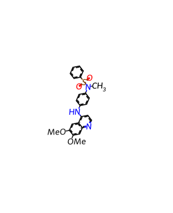 COc1cc2nccc(Nc3ccc(N(C)S(=O)(=O)c4ccccc4)cc3)c2cc1OC